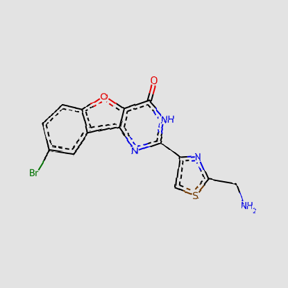 NCc1nc(-c2nc3c(oc4ccc(Br)cc43)c(=O)[nH]2)cs1